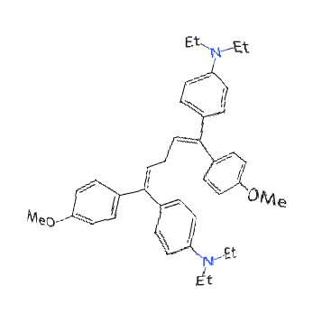 CCN(CC)c1ccc(C(=CCC=C(c2ccc(OC)cc2)c2ccc(N(CC)CC)cc2)c2ccc(OC)cc2)cc1